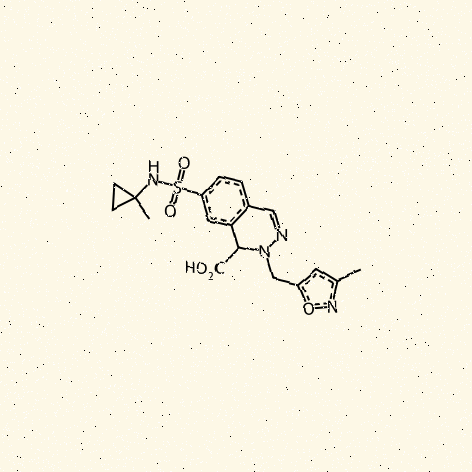 Cc1cc(CN2N=Cc3ccc(S(=O)(=O)NC4(C)CC4)cc3C2C(=O)O)on1